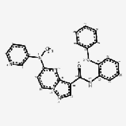 CN(c1cccnc1)c1ccn2ncc(C(=O)Nc3ccccc3Oc3ccccc3)c2n1